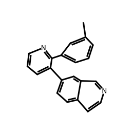 Cc1cccc(-c2ncccc2-c2ccc3ccncc3c2)c1